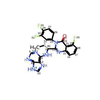 CC[C@@H](Nc1ncnc2[nH]cnc12)c1nc2cccc(F)c2c(=O)n1-c1ccc(F)c(F)c1